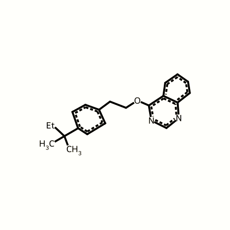 CCC(C)(C)c1ccc(CCOc2ncnc3ccccc23)cc1